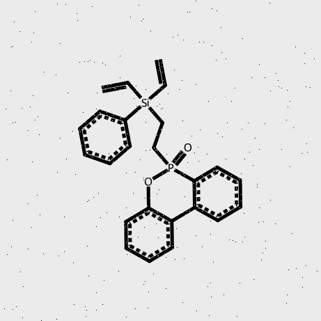 C=C[Si](C=C)(CCP1(=O)Oc2ccccc2-c2ccccc21)c1ccccc1